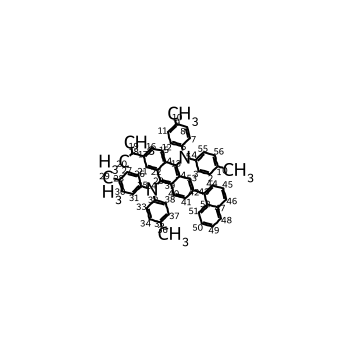 Cc1ccc(N(c2ccc(C)cc2)c2c3ccc(C(C)C)cc3c(N(c3ccc(C)cc3)c3ccc(C)cc3)c3ccc(-c4cccc5ccccc45)cc23)cc1